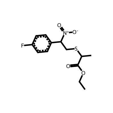 CCOC(=O)C(C)SCC(c1ccc(F)cc1)[N+](=O)[O-]